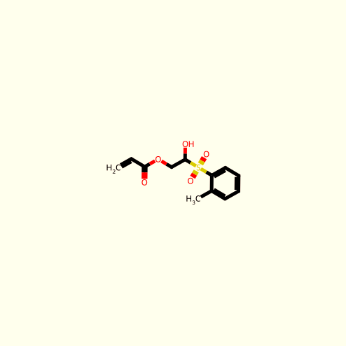 C=CC(=O)OCC(O)S(=O)(=O)c1ccccc1C